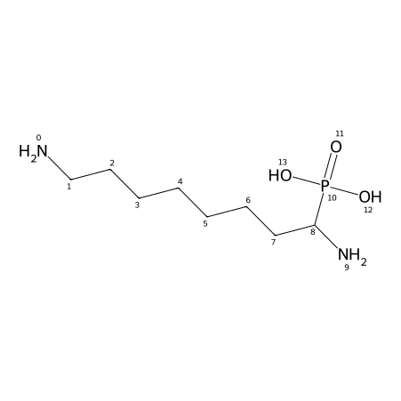 NCCCCCCCC(N)P(=O)(O)O